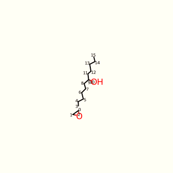 C1CO1.CCCCCCC(O)CCCCC